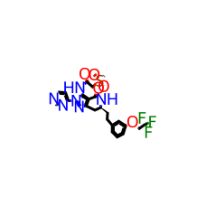 CS(=O)(=O)CC(=O)Nc1c2c(nn1-c1ccncn1)C[C@H](CCc1cccc(OCC(F)(F)F)c1)NC2=O